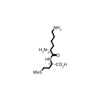 CSCC[C@H](NC(=O)[C@H](N)CCCCN)C(=O)O